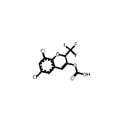 O=C(O)OC1=Cc2cc(Cl)cc(Cl)c2OC1C(F)(F)F